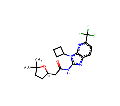 CC1(C)CC[C@H](CC(=O)Nc2nc3ccc(C(F)(F)F)nc3n2C2CCC2)O1